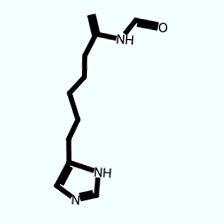 C=C(CCCCCc1cnc[nH]1)NC=O